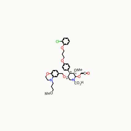 COCCCN1CCOc2ccc(CO[C@H]3CN(C(=O)O)C(OC=C=O)[C@@H](OC)[C@@H]3c3ccc(OCCCOc4ccccc4Cl)cc3)cc21